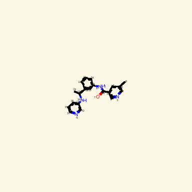 Cc1cncc(C(=O)Nc2cccc(C(C)Nc3cccnc3)c2)c1